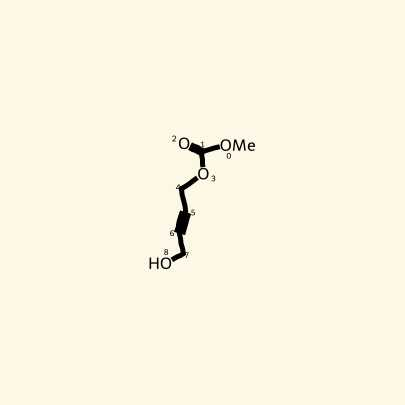 COC(=O)OCC#CCO